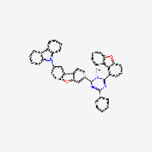 CN1C(c2cccc3oc4ccccc4c23)=NC(c2ccccc2)=NC1c1ccc2c(c1)oc1ccc(-n3c4ccccc4c4ccccc43)cc12